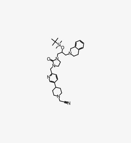 CC(C)(C)[Si](C)(C)OC(CN1CCc2ccccc2C1)CN1CCN(Cc2ccc(C3CCN(CC#N)CC3)cn2)C1=O